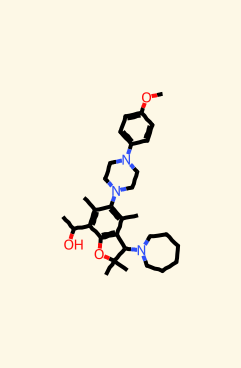 COc1ccc(N2CCN(c3c(C)c(C(C)O)c4c(c3C)C(N3CCCCCC3)C(C)(C)O4)CC2)cc1